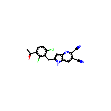 CC(=O)c1ccc(Cl)c(Cc2cc3nc(C#N)c(C#N)cc3[nH]2)c1Cl